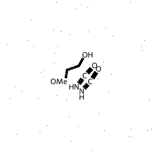 COCCO.N=C=O.N=C=O